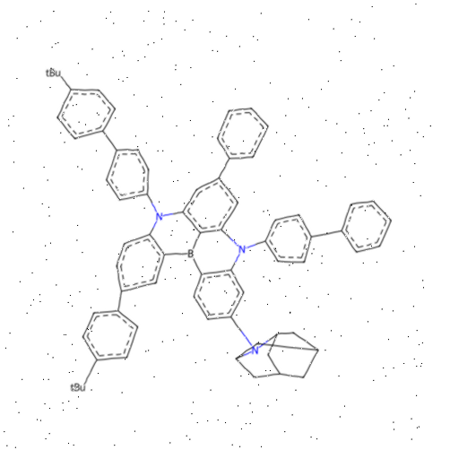 CC(C)(C)c1ccc(-c2ccc(N3c4ccc(-c5ccc(C(C)(C)C)cc5)cc4B4c5ccc(N6C7CC8CC(C7)CC6C8)cc5N(c5ccc(-c6ccccc6)cc5)c5cc(-c6ccccc6)cc3c54)cc2)cc1